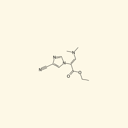 CCOC(=O)/C(=C/N(C)C)n1cnc(C#N)c1